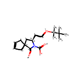 CC(C)(C)[Si](C)(C)OCC[C@@H]1CC2(CC=CC2)C(=O)N1C(=O)O